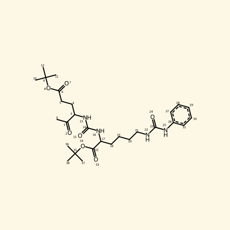 CC(=O)C(CCC(=O)OC(C)(C)C)NC(=O)NC(CCCCNC(=O)Nc1ccccc1)C(=O)OC(C)(C)C